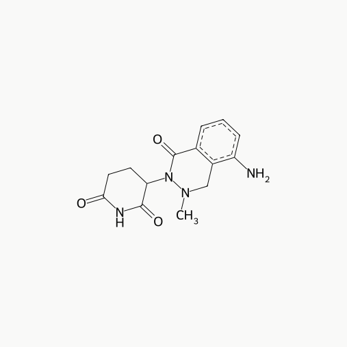 CN1Cc2c(N)cccc2C(=O)N1C1CCC(=O)NC1=O